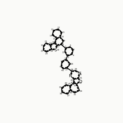 c1cc(-c2cccc(-c3cc4ccccc4c4c3sc3ccccc34)c2)cc(-c2cnc3oc4ccc5ccccc5c4c3n2)c1